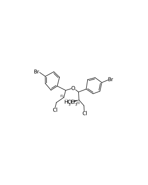 C[C@H](CCl)C(OC(c1ccc(Br)cc1)[C@H](C)CCl)c1ccc(Br)cc1